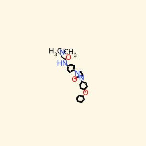 CN(C)CC(=O)Nc1ccc(-n2ccn(-c3ccc(Oc4ccccc4)cc3)c2=O)cc1